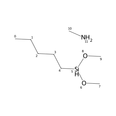 CCCCC[SiH](OC)OC.CN